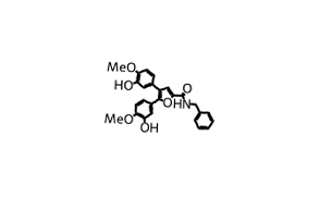 COc1ccc(-c2cc(C(=O)NCc3ccccc3)oc2-c2ccc(OC)c(O)c2)cc1O